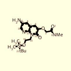 CNC(=O)COc1cc2cc(N)cnc2n(CCO[Si](C)(C)C(C)(C)C)c1=O